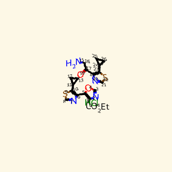 CCOC(=O)c1ncoc1-c1ncsc1C1CC1.Cl.NCC(=O)c1ncsc1C1CC1